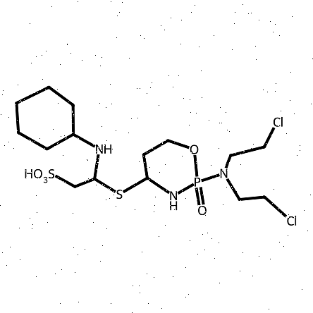 O=P1(N(CCCl)CCCl)NC(SC(CS(=O)(=O)O)NC2CCCCC2)CCO1